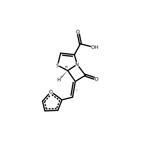 O=C(O)C1=CS[C@@H]2/C(=C\c3ccco3)C(=O)N12